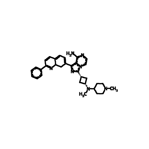 CN1CCC(N(C)[C@H]2C[C@@H](c3nc(C4=CC=C5C=CC(c6ccccc6)=NC5C4)c4c(N)nccn43)C2)CC1